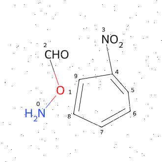 NOC=O.O=[N+]([O-])c1ccccc1